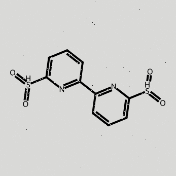 O=[SH](=O)c1cccc(-c2cccc([SH](=O)=O)n2)n1